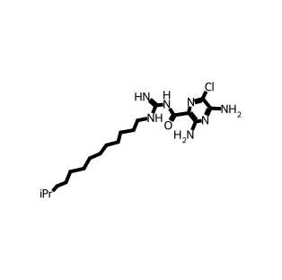 CC(C)CCCCCCCCCCCNC(=N)NC(=O)c1nc(Cl)c(N)nc1N